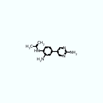 C=C(C)Nc1ccc(-c2cnc(N)nc2)cc1N